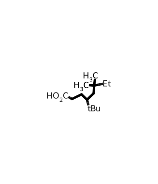 CCC(C)(C)CC(CCC(=O)O)C(C)(C)C